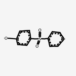 [O]c1ccc(S(=O)(=O)c2cc[c]cc2)cc1